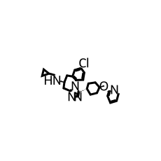 Clc1ccc2c(c1)C[C@H](NCC1CC1)Cc1nnc([C@H]3CC[C@H](Oc4ccccn4)CC3)n1-2